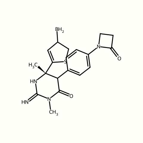 BC1C=C([C@@]2(C)NC(=N)N(C)C(=O)C2c2ccc(N3CCC3=O)cc2)SC1